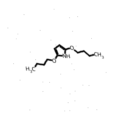 CCCCOc1ccc(OCCCC)[nH]1